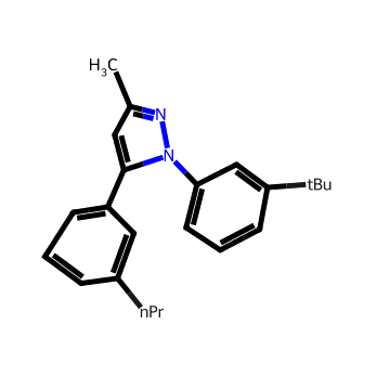 CCCc1cccc(-c2cc(C)nn2-c2cccc(C(C)(C)C)c2)c1